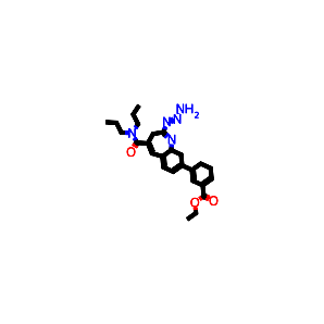 CCCN(CCC)C(=O)C1=CC2=CC=C(C3=CC(C(=O)OCC)=CCC3)CC2N=C(N=NN)C1